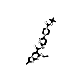 CCOc1nc2nc(C)cn2cc1C(=O)Nc1ccc(N2CCN(C(=O)OC(C)(C)C)CC2)nn1